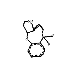 FC1(F)C/C=C2\CNCCC2Oc2ccccc21